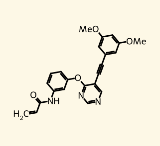 C=CC(=O)Nc1cccc(Oc2ncncc2C#Cc2cc(OC)cc(OC)c2)c1